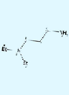 CCN(CC)CC[CH]N